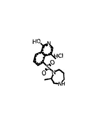 Cc1cnc(O)c2cccc(S(=O)(=O)N3CCCNCC3C)c12.Cl